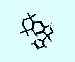 CC1(C)CCC(C)(C)c2cc3c(cc21)OCC3(C)c1c[c]cs1